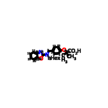 CCCCCCN(Cc1ccc(OC(C)(C)C(=O)O)cc1)c1nc2ccccc2o1